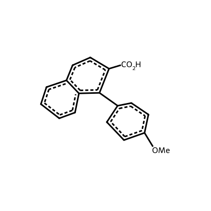 COc1ccc(-c2c(C(=O)O)ccc3ccccc23)cc1